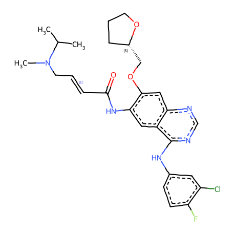 CC(C)N(C)C/C=C/C(=O)Nc1cc2c(Nc3ccc(F)c(Cl)c3)ncnc2cc1OC[C@@H]1CCCO1